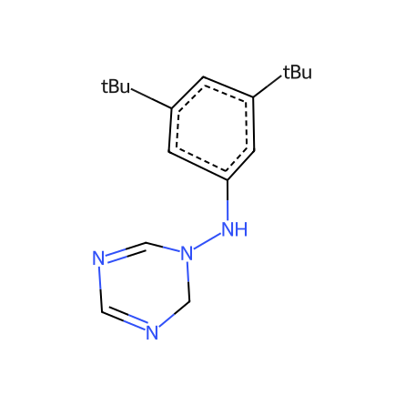 CC(C)(C)c1cc(NN2C=NC=NC2)cc(C(C)(C)C)c1